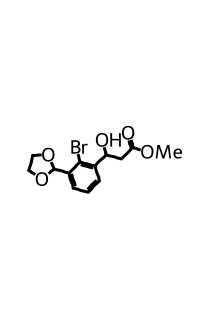 COC(=O)CC(O)c1cccc(C2OCCO2)c1Br